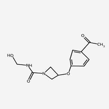 CC(=O)c1ccc(OC2CN(C(=O)NCO)C2)cc1